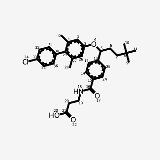 Cc1cc(OC(CCC(C)(C)C)c2ccc(C(=O)NCCC(=O)O)cc2)cc(C)c1-c1ccc(Cl)cc1